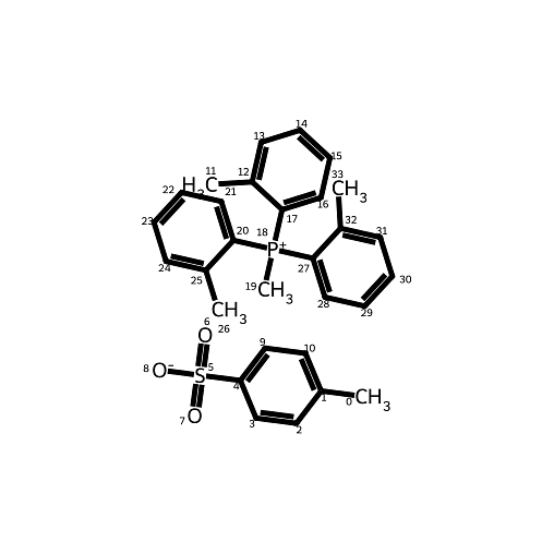 Cc1ccc(S(=O)(=O)[O-])cc1.Cc1ccccc1[P+](C)(c1ccccc1C)c1ccccc1C